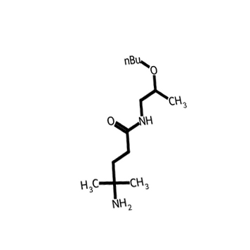 CCCCOC(C)CNC(=O)CCC(C)(C)N